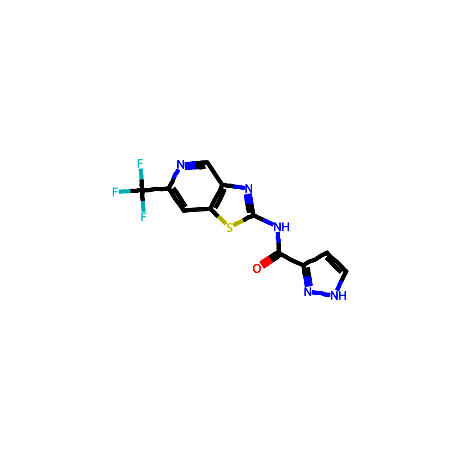 O=C(Nc1nc2cnc(C(F)(F)F)cc2s1)c1cc[nH]n1